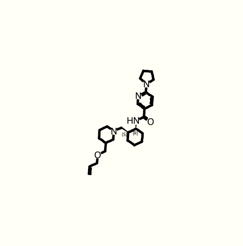 C=CCOCC1CCCN(C[C@@H]2CCCC[C@H]2NC(=O)c2ccc(N3CCCC3)nc2)C1